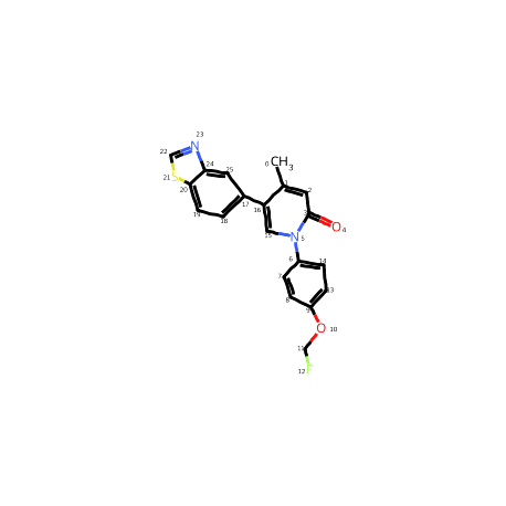 Cc1cc(=O)n(-c2ccc(OCF)cc2)cc1-c1ccc2scnc2c1